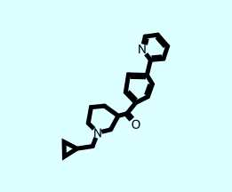 O=C(c1ccc(-c2ccccn2)cc1)C1CCCN(CC2CC2)C1